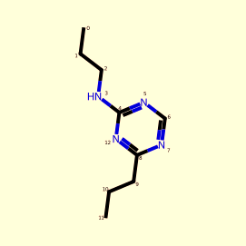 CCCNc1ncnc(CCC)n1